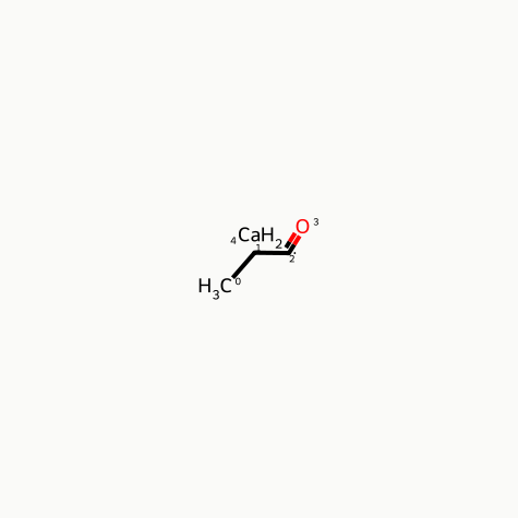 CC[C]=O.[CaH2]